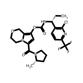 CC[C@@H](NC(=O)Oc1cc(C(=O)N2CCC[C@@H]2C)n2c1COCC2)c1ccc(C(F)(F)F)nc1Cl